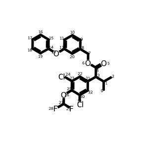 CC(C)C(C(=O)OCc1cccc(Oc2ccccc2)c1)c1cc(Cl)c(OC(F)F)c(Cl)c1